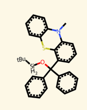 CN1c2ccccc2Sc2c1cccc2C(O[SiH2]C(C)(C)C)(c1ccccc1)c1ccccc1